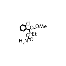 CC[C@H](OC(N)=O)[C@@H](OCOC)c1ccccc1Cl